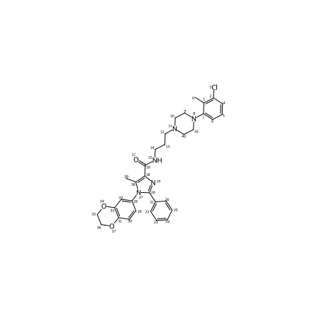 Cc1c(Cl)cccc1N1CCN(CCCNC(=O)c2nc(-c3ccccc3)n(-c3ccc4c(c3)OCCO4)c2C)CC1